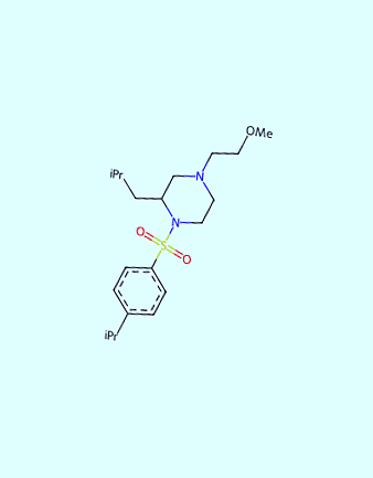 COCCN1CCN(S(=O)(=O)c2ccc(C(C)C)cc2)C(CC(C)C)C1